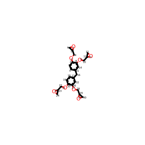 c1cc(OCC2CO2)c(OCC2CO2)cc1Cc1ccc(OCC2CO2)c(OCC2CO2)c1